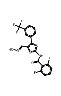 O=C(Nc1nc(C=NO)c(-c2cccc(C(F)(F)F)c2)s1)c1c(F)cccc1F